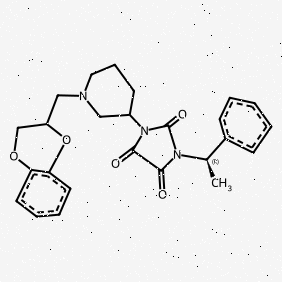 C[C@H](c1ccccc1)N1C(=O)C(=O)N(C2CCCN(CC3COc4ccccc4O3)C2)C1=O